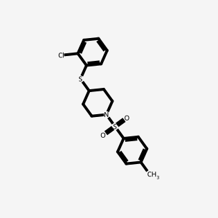 Cc1ccc(S(=O)(=O)N2CCC(Sc3ccccc3Cl)CC2)cc1